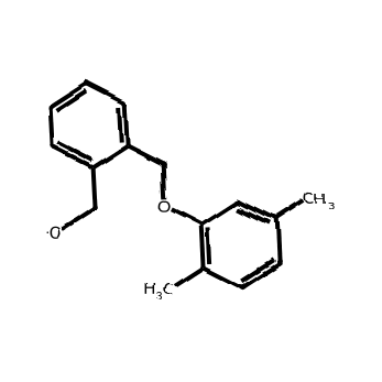 Cc1ccc(C)c(OCc2ccccc2C[O])c1